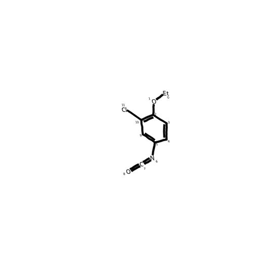 CCOc1ccc(N=C=O)cc1Cl